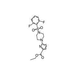 CCOC(=O)c1csc(N2CCN(S(=O)(=O)c3c(F)cccc3F)CC2)n1